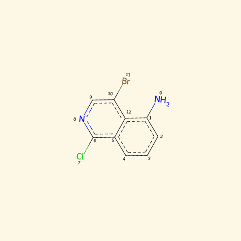 Nc1cccc2c(Cl)ncc(Br)c12